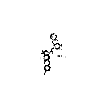 C[C@@H]1CN(CC(=O)N2CC(C)(C)c3[nH]c(=O)c(Cc4ccc(F)cc4)cc32)[C@@H](CN2[C@H](C)COC[C@H]2C)CN1.Cl.Cl